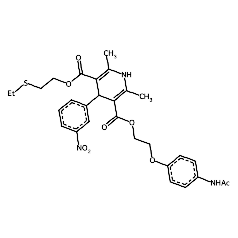 CCSCCOC(=O)C1=C(C)NC(C)=C(C(=O)OCCOc2ccc(NC(C)=O)cc2)C1c1cccc([N+](=O)[O-])c1